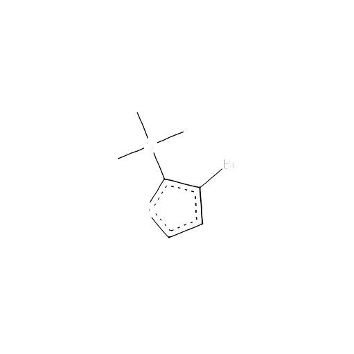 C[Si](C)(C)c1o[c]cc1Br